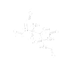 O=CNP(=O)(NC=O)[C](O)P(=O)(NC=O)NC=O